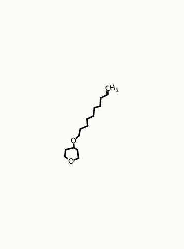 C=CCCCCCCCCOC1CCOCC1